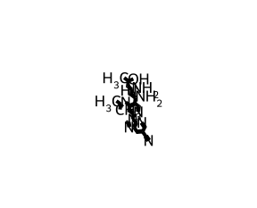 CC(O)CN(N)/C=C(\N)c1cnc(-n2cnc3cc(C#N)cnc32)cc1NC(C)C